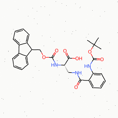 CC(C)(C)OC(=O)Nc1ccccc1C(=O)NC[C@H](NC(=O)OCC1c2ccccc2-c2ccccc21)C(=O)O